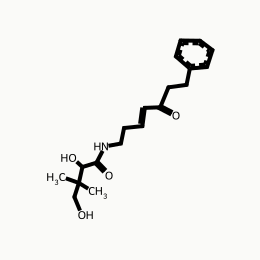 CC(C)(CO)C(O)C(=O)NCC/C=C/C(=O)CCc1ccccc1